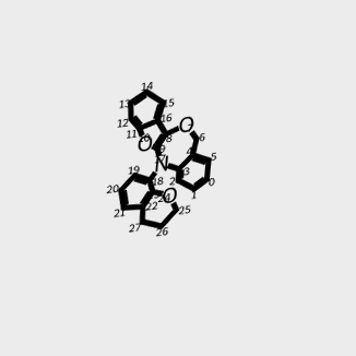 c1ccc2c(c1)COc1c(oc3ccccc13)N2c1cccc2c1OCCC2